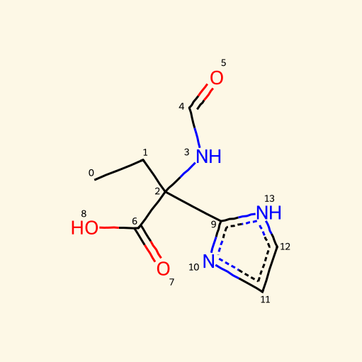 CCC(NC=O)(C(=O)O)c1ncc[nH]1